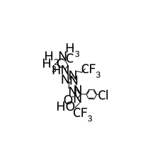 CC(C)(N)CNc1nc(Cn2nc(-c3ccc(Cl)cc3)n(C[C@H](O)C(F)(F)F)c2=O)nn1CCC(F)(F)F